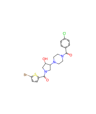 O=C(c1ccc(Cl)cc1)N1CCN(C2CN(C(=O)c3ccc(Br)s3)CC2O)CC1